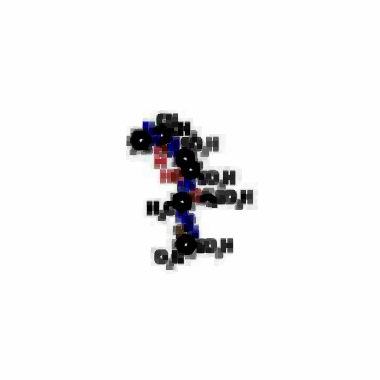 Cc1cc(N=Nc2c(S(=O)(=O)O)cc3cc(S(=O)(=O)O)c(N=Nc4c(C)c(C#N)c5nc6ccccc6n5c4O)cc3c2O)c(OCCCS(=O)(=O)O)cc1N=Nc1nc2c(S(=O)(=O)O)cc([N+](=O)[O-])cc2s1